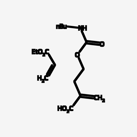 C=C(CCOC(=O)NCCCC)C(=O)O.C=CC(=O)OCC